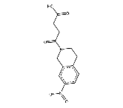 O=C(O)CCC(=O)N1CCc2ccc([N+](=O)[O-])cc2C1